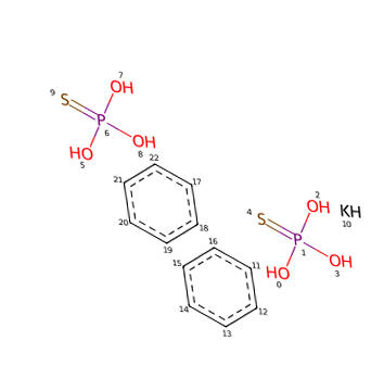 OP(O)(O)=S.OP(O)(O)=S.[KH].c1ccccc1.c1ccccc1